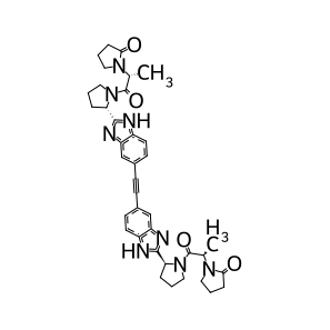 C[C@H](C(=O)N1CCC[C@H]1c1nc2cc(C#Cc3ccc4[nH]c([C@@H]5CCCN5C(=O)[C@@H](C)N5CCCC5=O)nc4c3)ccc2[nH]1)N1CCCC1=O